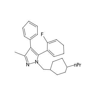 CCCC1CCC(Cn2nc(C)c(-c3ccccc3)c2C2=CCCC=C2F)CC1